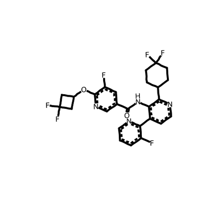 O=C(Nc1c(-c2ncccc2F)ccnc1C1CCC(F)(F)CC1)c1cnc(OC2CC(F)(F)C2)c(F)c1